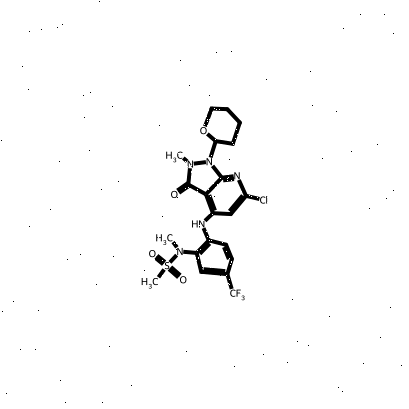 CN(c1cc(C(F)(F)F)ccc1Nc1cc(Cl)nc2c1c(=O)n(C)n2C1CCCCO1)S(C)(=O)=O